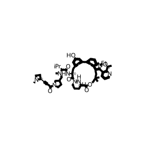 CCn1c(-c2cccnc2[C@H](C)OC)c2c3cc(ccc31)-c1cc(O)cc(c1)C[C@H](NC(=O)[C@H](C(C)C)N(C)CC1CCN(C(=O)C#C[C@@H]3CCN3C)C1)C(=O)N1CCC[C@H](N1)C(=O)OCC(C)(C)C2